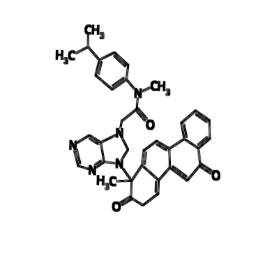 CC(C)c1ccc(N(C)C(=O)CN2CN(C3(C)C(=O)CC=c4c3ccc3c4=CC(=O)c4ccccc4-3)c3ncncc32)cc1